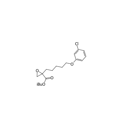 CC(C)COC(=O)C1(CCCCCOc2cccc(Cl)c2)CO1